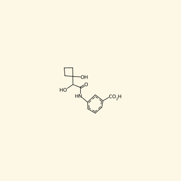 O=C(O)c1cccc(NC(=O)C(O)C2(O)CCC2)c1